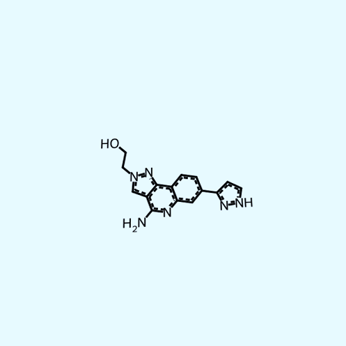 Nc1nc2cc(-c3cc[nH]n3)ccc2c2nn(CCO)cc12